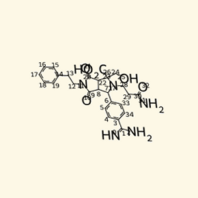 N=C(N)c1ccc(C2C3C(=O)N(CCc4ccccc4)C(=O)C3C(CO)(C(=O)O)N2CCC(N)=O)cc1